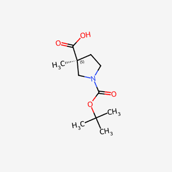 CC(C)(C)OC(=O)N1CC[C@](C)(C(=O)O)C1